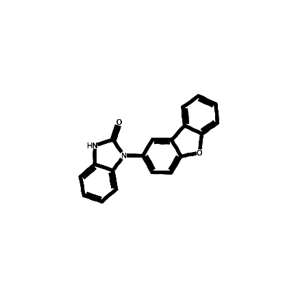 O=c1[nH]c2ccccc2n1-c1ccc2oc3ccccc3c2c1